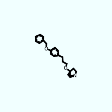 c1ccc(COc2ccc(CCCOC34CCN(CC3)C4)cc2)cc1